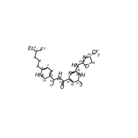 CCC(F)CCCC1=CC=C(C(C)NC(=O)C2=C[C@H](C)NC(NC3=N[C@H](C(F)(F)F)CO3)=N2)CN1